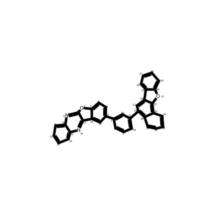 c1cc(-c2ccc3oc4nc5ccccc5nc4c3c2)cc(-c2cc3c4ccccc4oc3c3ccccc23)c1